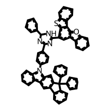 c1ccc(C2N=C(c3ccc(-n4c5ccccc5c5cc6c(cc54)C(c4ccccc4)(c4ccccc4)c4ccccc4-6)cc3)N=C(c3cc4c5ccccc5oc4c4c3sc3ccccc34)N2)cc1